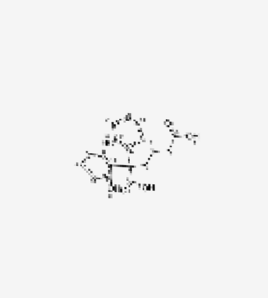 O=C(O)CCCC(C(=O)O)(c1ccccc1O)c1ccccc1O